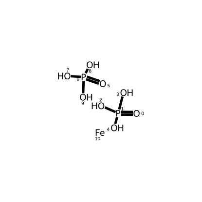 O=P(O)(O)O.O=P(O)(O)O.[Fe]